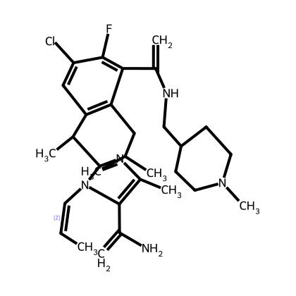 C=C(NCC1CCN(C)CC1)c1c(F)c(Cl)cc(C(C)c2nc(C)c(C(=C)N)n2/C=C\C)c1CC(C)C